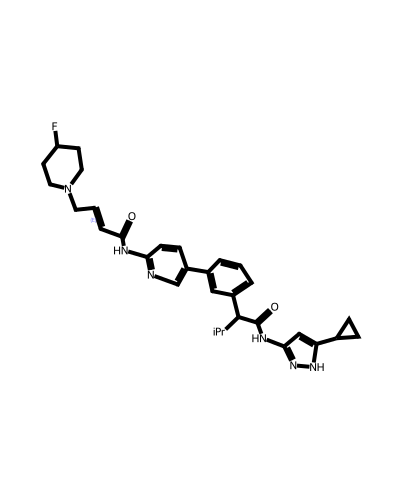 CC(C)C(C(=O)Nc1cc(C2CC2)[nH]n1)c1cccc(-c2ccc(NC(=O)/C=C/CN3CCC(F)CC3)nc2)c1